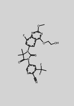 COc1nc(OCCO)c2cc(N3C(=S)N(c4cnc(C#N)c(C(C)(F)F)c4)C(=O)C3(C)C)cc(F)c2n1